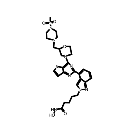 CS(=O)(=O)N1CCN(CC2CN(c3nc(-c4cccc5nn(CCCCC(=O)NO)cc45)nc4ccsc34)CCO2)CC1